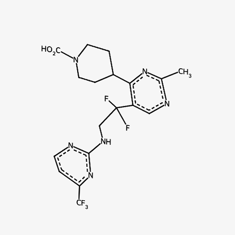 Cc1ncc(C(F)(F)CNc2nccc(C(F)(F)F)n2)c(C2CCN(C(=O)O)CC2)n1